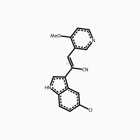 COc1ccncc1/C=C(\C#N)c1c[nH]c2ccc(Cl)cc12